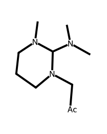 CC(=O)CN1CCCN(C)C1N(C)C